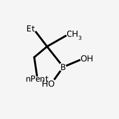 CCCCCCC(C)(CC)B(O)O